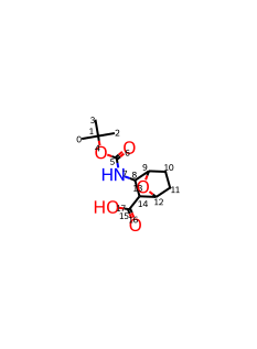 CC(C)(C)OC(=O)NC1C2CCC(O2)C1C(=O)O